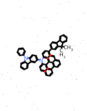 CC1(C)c2ccccc2-c2ccc(-c3ccc(N(c4ccc5c(c4)c4ccccc4n5-c4ccccc4)c4ccccc4-c4cccc5cccc(-c6ccccc6)c45)cc3)cc21